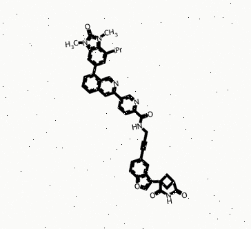 CC(C)c1cc(-c2cccc3cc(-c4ccc(C(=O)NCC#Cc5ccc6occ(C78CC(C7)C(=O)NC8=O)c6c5)nc4)ncc23)cc2c1n(C)c(=O)n2C